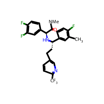 CNC(=O)[C@@H](N[C@@H](CCc1ccc(C(F)(F)F)nc1)c1ccc(F)c(C)c1)c1ccc(F)c(F)c1